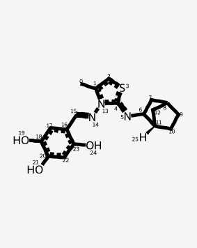 Cc1cs/c(=N\C2CC3CC[C@H]2C3)n1/N=C/c1cc(O)c(O)cc1O